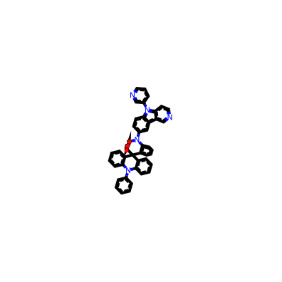 c1ccc(N2c3ccccc3C3(c4ccccc42)c2ccccc2N(c2ccc4c(c2)c2cnccc2n4-c2cccnc2)c2ccccc23)cc1